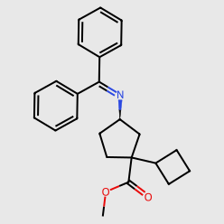 COC(=O)C1(C2CCC2)CC[C@@H](N=C(c2ccccc2)c2ccccc2)C1